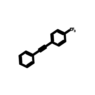 FC(F)(F)c1ccc(C#Cc2ccccc2)cc1